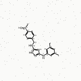 Cc1cc(C)cc(Nc2n[nH]c(NCc3ccc([S+](C)[O-])cc3)n2)c1